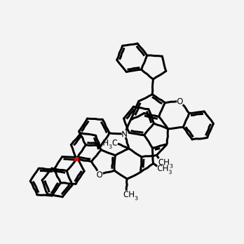 CC1C2=C3C(C)C4=C1C(C)c1oc5c(-c6ccccc6)cccc5c1C4(C)N(c1cccc(-c4ccc5ccccc5c4)c1)c1cc(C4CCc5ccccc54)c4c(c1)C3(c1ccccc1O4)c1ccccc12